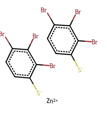 [S-]c1ccc(Br)c(Br)c1Br.[S-]c1ccc(Br)c(Br)c1Br.[Zn+2]